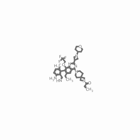 C=CC(=O)N1CC2(CCN(c3nc(C4CN(C5CCOCC5)C4)nc4c(OCC(F)(F)F)c(-c5c(C)ccc(N)c5C=N)c(CC)cc34)CC2)C1